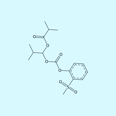 CC(C)C(=O)OC(OC(=O)Oc1ccccc1S(C)(=O)=O)C(C)C